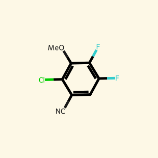 COc1c(F)c(F)cc(C#N)c1Cl